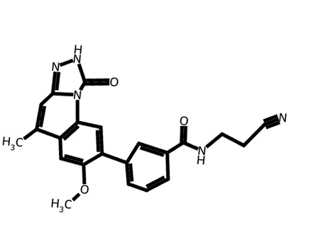 COc1cc2c(C)cc3n[nH]c(=O)n3c2cc1-c1cccc(C(=O)NCCC#N)c1